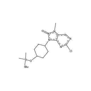 Cn1c(=O)n(C2CCC(O[Si](C)(C)C(C)(C)C)CC2)c2nc(Cl)ncc21